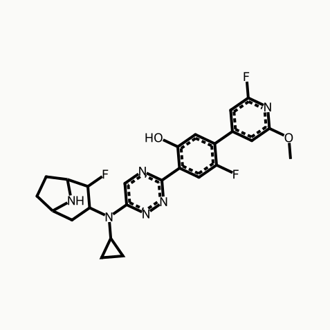 COc1cc(-c2cc(O)c(-c3ncc(N(C4CC4)C4CC5CCC(N5)C4F)nn3)cc2F)cc(F)n1